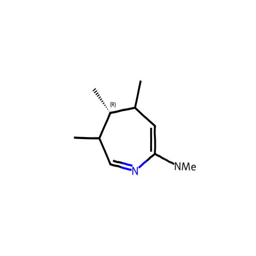 CNC1=CC(C)[C@@H](C)C(C)C=N1